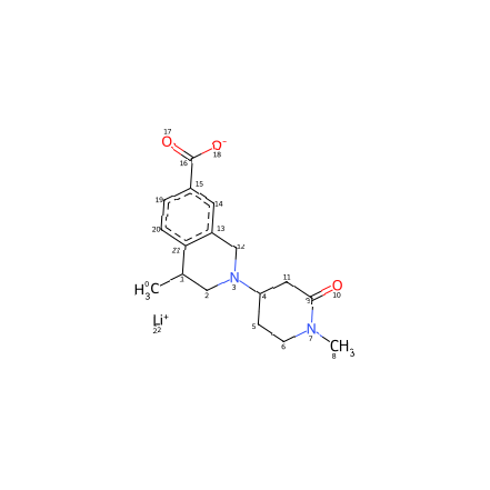 CC1CN(C2CCN(C)C(=O)C2)Cc2cc(C(=O)[O-])ccc21.[Li+]